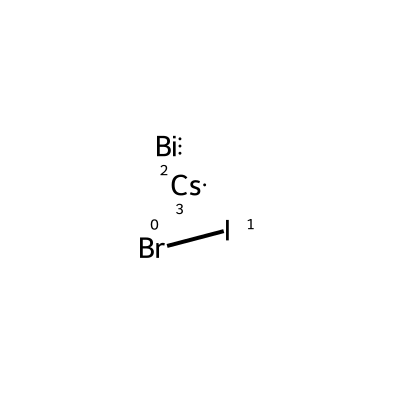 BrI.[Bi].[Cs]